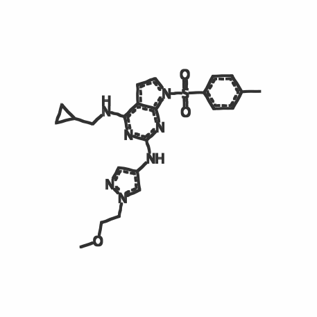 COCCn1cc(Nc2nc(NCC3CC3)c3ccn(S(=O)(=O)c4ccc(C)cc4)c3n2)cn1